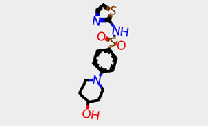 O=S(=O)(Nc1nccs1)c1ccc(N2CCC(O)CC2)cc1